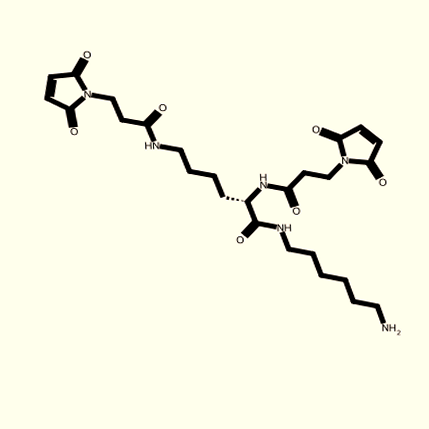 NCCCCCCNC(=O)[C@H](CCCCNC(=O)CCN1C(=O)C=CC1=O)NC(=O)CCN1C(=O)C=CC1=O